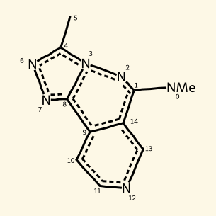 CNc1nn2c(C)nnc2c2ccncc12